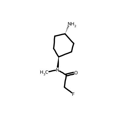 CN(C(=O)CF)[C@H]1CC[C@H](N)CC1